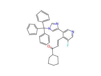 O=C(C=Cc1c(F)cncc1-c1cn(C(c2ccccc2)(c2ccccc2)c2ccccc2)cn1)C1CCCCC1